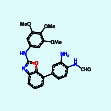 COc1cc(Nc2nc3cccc(-c4ccc(NC=O)c(N)c4)c3o2)cc(OC)c1OC